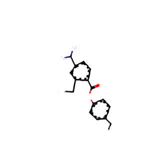 CC(C)(C)Cc1cc(C(N)N)ccc1C(=O)Oc1ccc(CC(=O)O)cc1